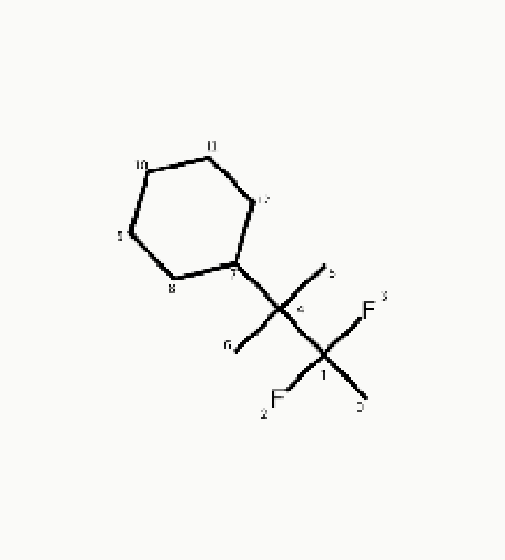 CC(F)(F)C(C)(C)C1CCCCC1